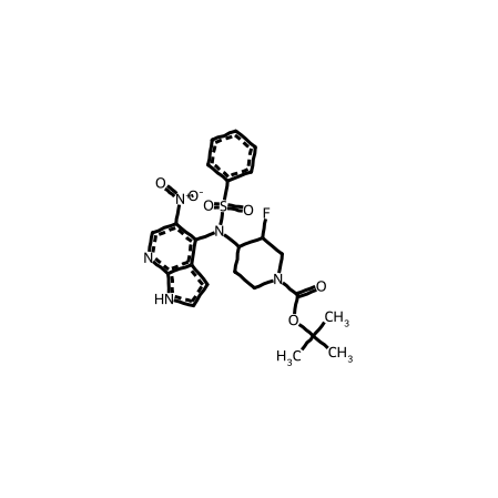 CC(C)(C)OC(=O)N1CCC(N(c2c([N+](=O)[O-])cnc3[nH]ccc23)S(=O)(=O)c2ccccc2)C(F)C1